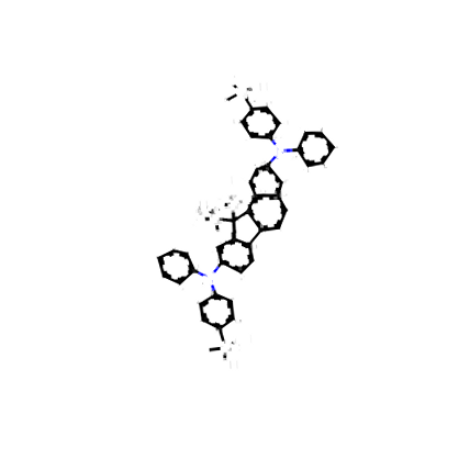 C[Si](C)(C)c1ccc(N(c2ccccc2)c2ccc3c(c2)C([Si](C)(C)C)([Si](C)(C)C)c2c-3ccc3cc(N(c4ccccc4)c4ccc([Si](C)(C)C)cc4)ccc23)cc1